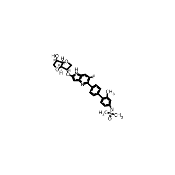 Cc1cc(N=S(C)(C)=O)ccc1-c1ccc(-c2nc3cc(O[C@@H]4CO[C@H]5[C@@H]4OC[C@H]5O)[nH]c3cc2F)cc1